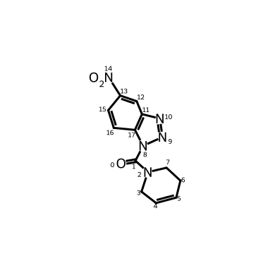 O=C(N1CC=CCC1)n1nnc2cc([N+](=O)[O-])ccc21